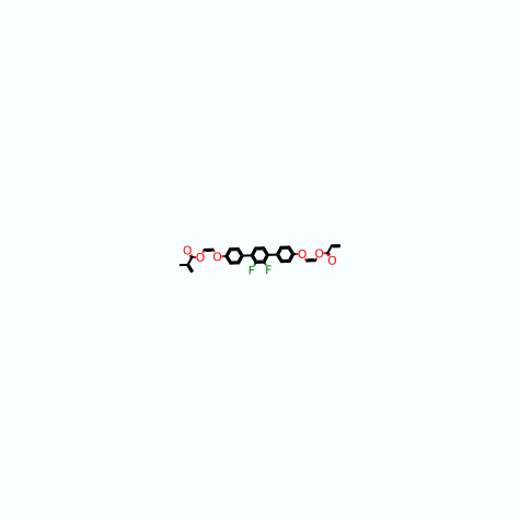 C=CC(=O)O/C=C\Oc1ccc(-c2ccc(-c3ccc(O/C=C\OC(=O)C(=C)C)cc3)c(F)c2F)cc1